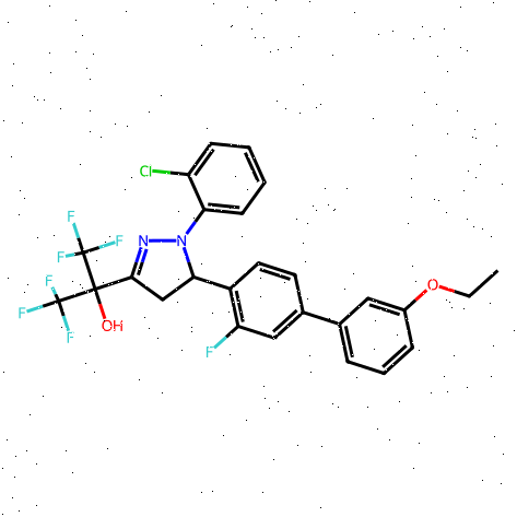 CCOc1cccc(-c2ccc(C3CC(C(O)(C(F)(F)F)C(F)(F)F)=NN3c3ccccc3Cl)c(F)c2)c1